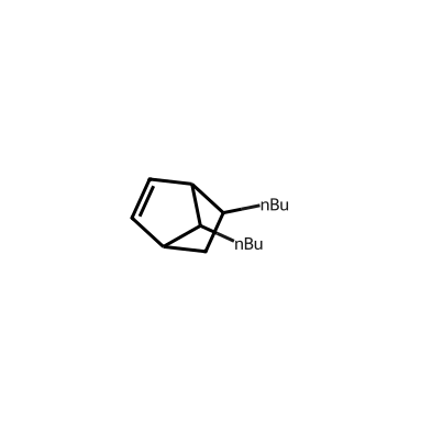 CCCCC1CC2C=CC1C2CCCC